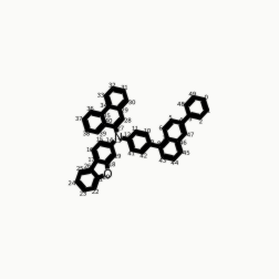 c1ccc(-c2ccc3c(-c4ccc(N(c5ccc6c(c5)oc5ccccc56)c5cc6ccccc6c6ccccc56)cc4)cccc3c2)cc1